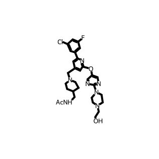 CC(=O)NCC1CCN(Cc2cc(Oc3cnc(N4CCN(CCO)CC4)nc3)nc(-c3cc(F)cc(Cl)c3)c2)CC1